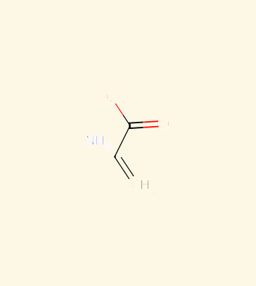 C=CC([O])=O.N